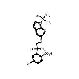 CC(C)(COc1cnc2c(ccn2[Si](C)(C)C(C)(C)C)c1)c1cc(Br)ccc1C(=O)O